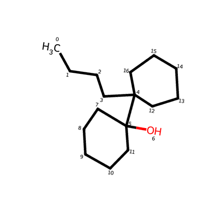 CCCCC1(C2(O)CCCCC2)CCCCC1